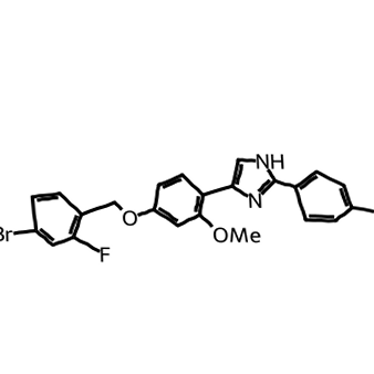 COc1cc(OCc2ccc(Br)cc2F)ccc1-c1c[nH]c(-c2ccc(Cl)cc2)n1